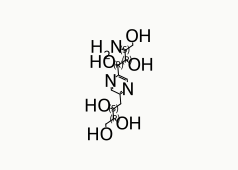 N[C@@H](CO)[C@@H](O)[C@H](O)c1cnc(C[C@H](O)[C@H](O)CO)cn1